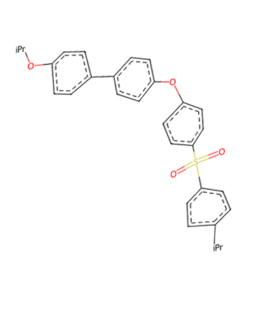 CC(C)Oc1ccc(-c2ccc(Oc3ccc(S(=O)(=O)c4ccc(C(C)C)cc4)cc3)cc2)cc1